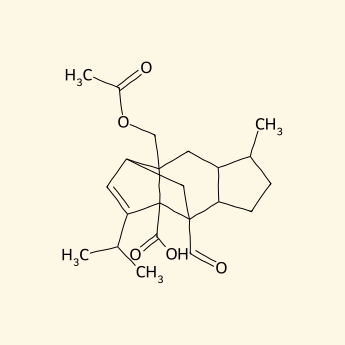 CC(=O)OCC12CC3C(C)CCC3C3(C=O)CC1C=C(C(C)C)C32C(=O)O